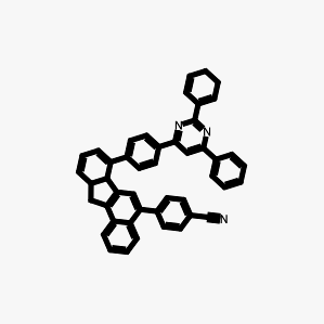 N#Cc1ccc(-c2cc3c(c4ccccc24)CC2C=CC=C(c4ccc(-c5cc(-c6ccccc6)nc(C6=CCCC=C6)n5)cc4)C32)cc1